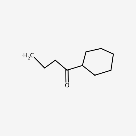 [CH2]CCC(=O)C1CCCCC1